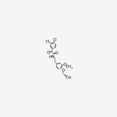 C#CCOc1ccc(CCNC(=O)C(=O)c2ccc(Cl)c(Cl)c2)cc1OC